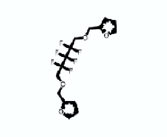 FC(F)(COCc1ccco1)C(F)(F)C(F)(F)COCc1ccco1